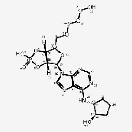 O=P1(O)O[C@@H]2[C@H](O1)[C@@H](COSOOO)O[C@H]2n1cnc2c(N[C@@H]3CCC[C@H]3O)ncnc21